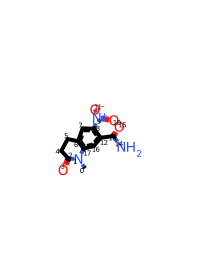 CN1C(=O)CCc2cc([N+](=O)[O-])c(C(N)=O)cc21